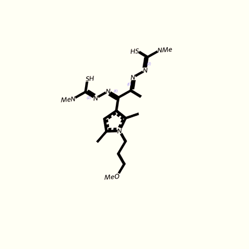 CN/C(S)=N/N=C(C)/C(=N/N=C(\S)NC)c1cc(C)n(CCCOC)c1C